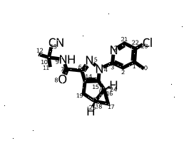 Cc1cc(-n2nc(C(=O)NC(C)(C)C#N)c3c2[C@@H]2C[C@@H]2C3)ncc1Cl